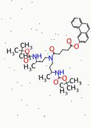 CC(CCN(CCC(C)NC(=O)OC(C)(C)C)C(=O)CCCC(=O)Oc1ccc2ccc3ccccc3c2c1)NC(=O)OC(C)(C)C